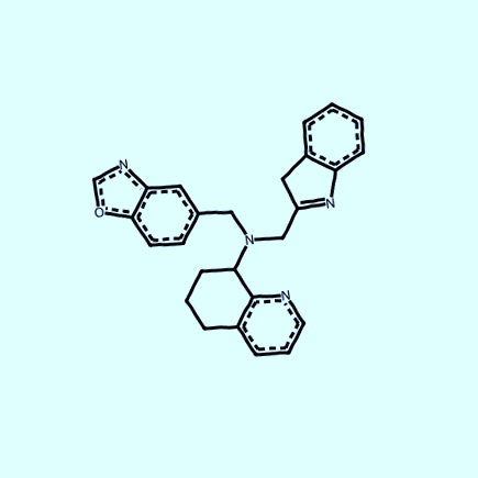 c1ccc2c(c1)CC(CN(Cc1ccc3ocnc3c1)C1CCCc3cccnc31)=N2